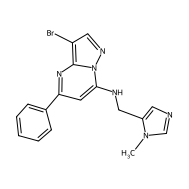 Cn1cncc1CNc1cc(-c2ccccc2)nc2c(Br)cnn12